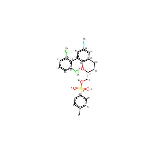 Cc1ccc(S(=O)(=O)OC[C@H]2CCc3cc(F)cc(-c4c(Cl)cccc4Cl)c3O2)cc1